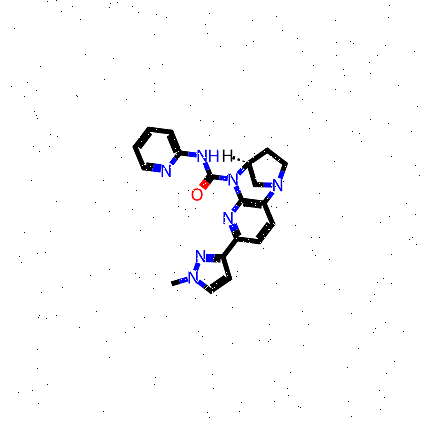 Cn1ccc(-c2ccc3c(n2)N(C(=O)Nc2ccccn2)[C@H]2CCN3C2)n1